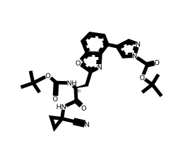 CC(C)(C)OC(=O)N[C@@H](Cc1nc2c(-c3cnn(C(=O)OC(C)(C)C)c3)cccc2o1)C(=O)NC1(C#N)CC1